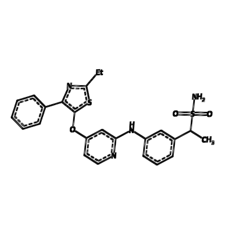 CCc1nc(-c2ccccc2)c(Oc2ccnc(Nc3cccc(C(C)S(N)(=O)=O)c3)c2)s1